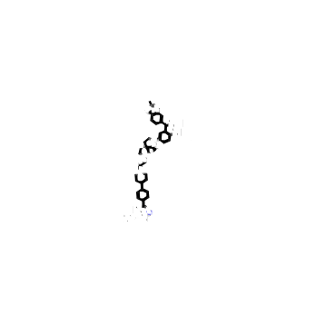 CN/C=N\C(=N)c1ccc(C2=CCN(C(=O)CN3CC[C@]4(CCN(c5ccc(N)c(C(=N)c6ccc7oc(C)nc7c6)c5)C4=O)C3)CC2)cc1